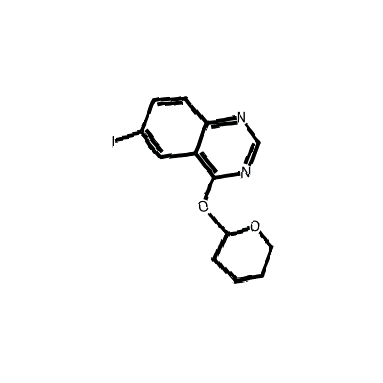 Ic1ccc2ncnc(OC3CCCCO3)c2c1